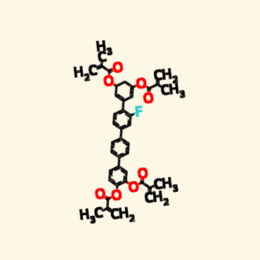 C=C(C)C(=O)OC1=CC(c2ccc(-c3ccc(-c4ccc(OC(=O)C(=C)C)c(OC(=O)C(=C)C)c4)cc3)cc2F)=CC(OC(=O)C(=C)C)C1